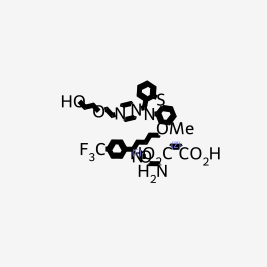 COCCCC/C(=N\OCCN)c1ccc(C(F)(F)F)cc1.O=C(O)/C=C\C(=O)O.OCCOCCN1CCN(C2=Nc3ccccc3Sc3ccccc32)CC1